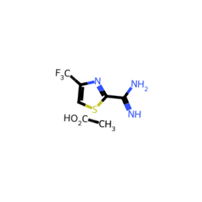 CC(=O)O.N=C(N)c1nc(C(F)(F)F)cs1